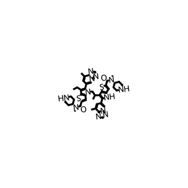 CCc1c(-c2cc(C)c3ncnn3c2)n(CC(C)c2c(-c3cc(C)c4ncnn4c3)[nH]c3cc(C(=O)N(C)C4CCNCC4)sc23)c2cc(C(=O)N(C)C3CCNCC3)sc12